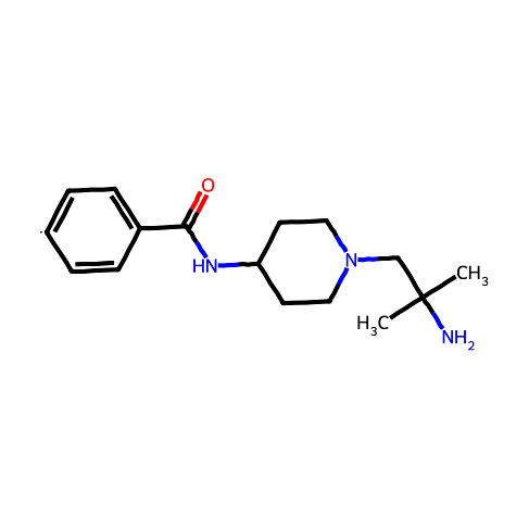 CC(C)(N)CN1CCC(NC(=O)c2cc[c]cc2)CC1